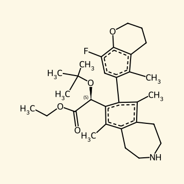 CCOC(=O)[C@@H](OC(C)(C)C)c1c(C)c2c(c(C)c1-c1cc(F)c3c(c1C)CCCO3)CCNCC2